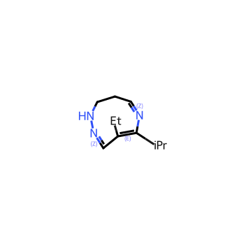 CCC1=C(C(C)C)\N=C/CCN/N=C\1